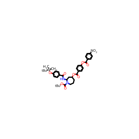 CC(C)(C)OC(=O)N1CCCC(OC(=O)c2ccc(OC(=O)c3ccc([N+](=O)[O-])cc3)cc2)CC1NC(=O)c1ccc(O[Si](C)(C)C(C)(C)C)cc1